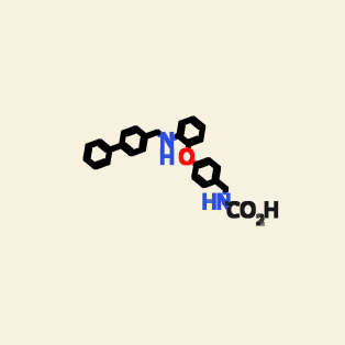 O=C(O)NCc1ccc(Oc2ccccc2NCc2ccc(-c3ccccc3)cc2)cc1